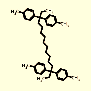 CCC(CCCCCCCCCCC(CC)(c1ccc(C)cc1)c1ccc(C)cc1)(c1ccc(C)cc1)c1ccc(C)cc1